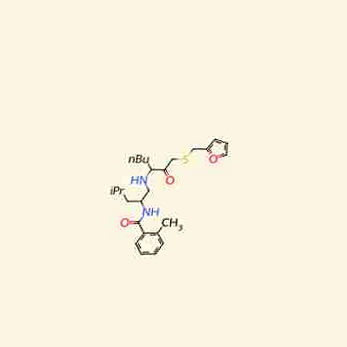 CCCCC(NCC(CC(C)C)NC(=O)c1ccccc1C)C(=O)CSCc1ccco1